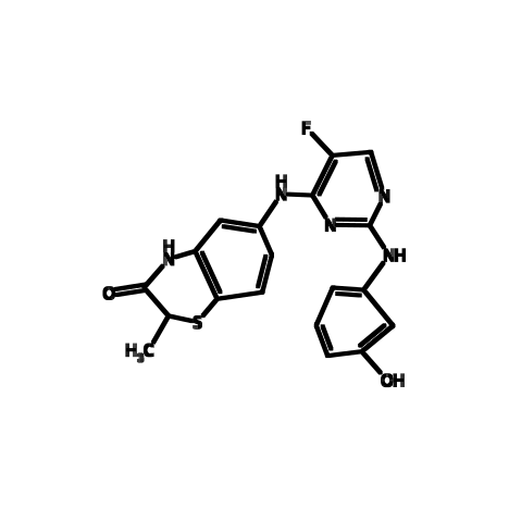 CC1Sc2ccc(Nc3nc(Nc4cccc(O)c4)ncc3F)cc2NC1=O